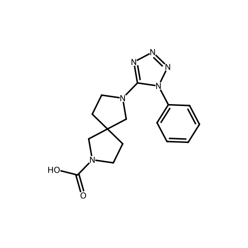 O=C(O)N1CCC2(CCN(c3nnnn3-c3ccccc3)C2)C1